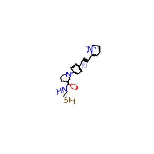 C[n+]1ccccc1/C=C/c1ccc(N2CCCC(C(=O)NCCS)C2)cc1